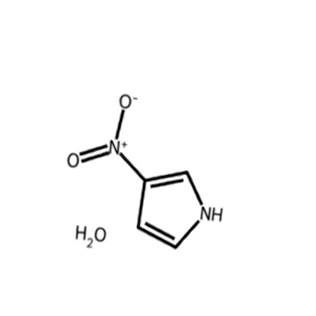 O.O=[N+]([O-])c1cc[nH]c1